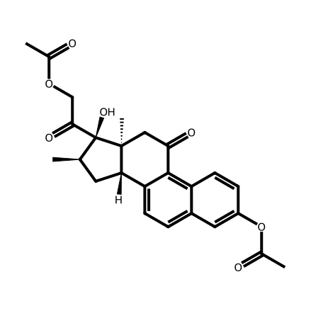 CC(=O)OCC(=O)[C@@]1(O)[C@H](C)C[C@H]2c3ccc4cc(OC(C)=O)ccc4c3C(=O)C[C@@]21C